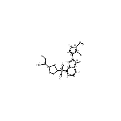 CCC(O)N1CCC(S(=O)(=O)c2ncnc3c2nc(-c2cnn(CC)c2C)n3C)C1